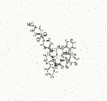 N#Cc1ccc(S(=O)(=O)c2ccc(-n3c4cc5c6ccccc6n(-c6ccccc6)c5cc4c4c3ccc3c5ccccc5n(-c5ccccc5)c34)cc2)cc1